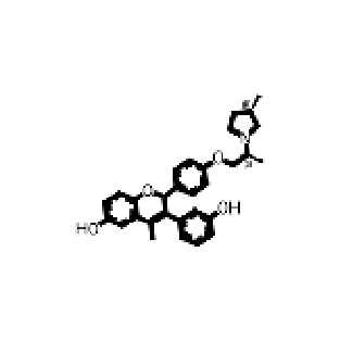 CC1=C(c2cccc(O)c2)C(c2ccc(OC[C@H](C)N3CC[C@@H](C)C3)cc2)Oc2ccc(O)cc21